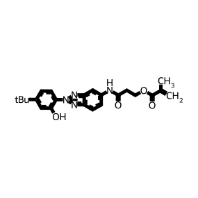 C=C(C)C(=O)OCCC(=O)Nc1ccc2c(c1)n1n(-c3ccc(C(C)(C)C)cc3O)n21